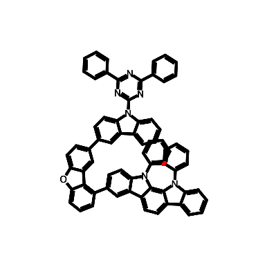 c1ccc(-c2nc(-c3ccccc3)nc(-n3c4ccccc4c4cc(-c5ccc6oc7cccc(-c8ccc9c(c8)c8ccc%10c%11ccccc%11n(-c%11ccccc%11)c%10c8n9-c8ccccc8)c7c6c5)ccc43)n2)cc1